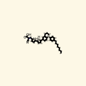 CCCCCCCCc1ccc(N2CCCc3cc(-c4ccc(-c5ccc(/C=C(\C#N)C(=O)O)[nH]5)[nH]4)ccc32)cc1